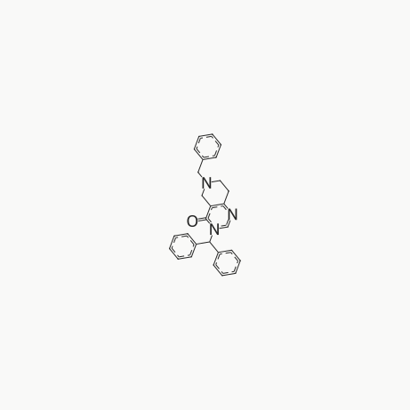 O=c1c2c(ncn1C(c1ccccc1)c1ccccc1)CCN(Cc1ccccc1)C2